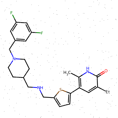 CCc1cc(-c2ccc(CNCC3CCN(Cc4cc(F)cc(F)c4)CC3)s2)c(C)[nH]c1=O